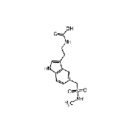 CNS(=O)(=O)Cc1ccc2[nH]cc(CCNC(=O)O)c2c1